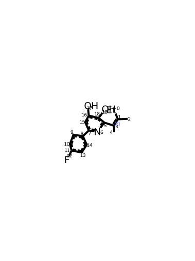 CC/C(C)=C(/C)c1nc(-c2ccc(F)cc2)cc(O)c1O